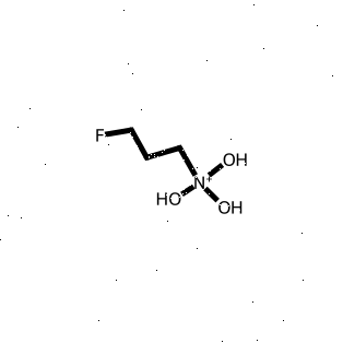 O[N+](O)(O)CCCF